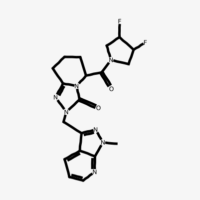 Cn1nc(Cn2nc3n(c2=O)C(C(=O)N2CC(F)C(F)C2)CCC3)c2cccnc21